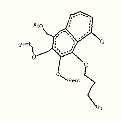 CCCC(C)Oc1c(OC(C)CCC)c(OCCCC(C)C)c2c(Cl)cccc2c1OC(C)=O